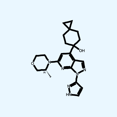 C[C@@H]1COCCN1c1cc(C2(O)CCC3(CC3)CC2)c2cnn(-c3cc[nH]n3)c2n1